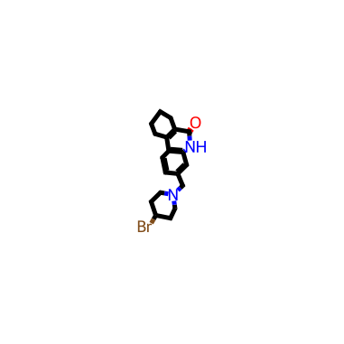 O=c1[nH]c2cc(CN3CCC(Br)CC3)ccc2c2c1CCCC2